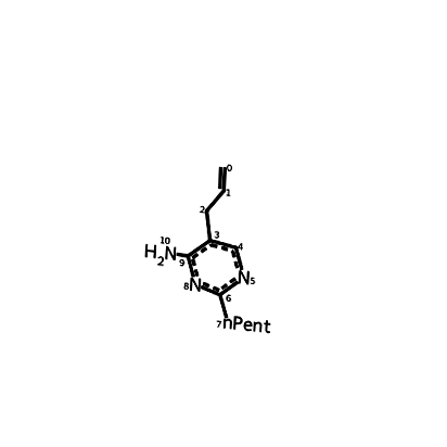 C=CCc1cnc(CCCCC)nc1N